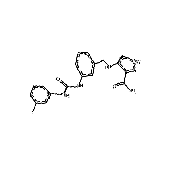 NC(=O)c1n[nH]cc1NCc1cccc(NC(=O)Nc2cccc(F)c2)c1